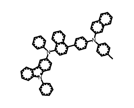 Cc1ccc(N(c2ccc(-c3ccc(N(c4ccccc4)c4ccc5c(c4)c4ccccc4n5-c4ccccc4)c4ccccc34)cc2)c2ccc3ccccc3c2)cc1